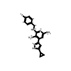 Nc1cc(-c2cc(C3CC3)[nH]n2)c(N)c(NCc2ccc(F)cc2)n1